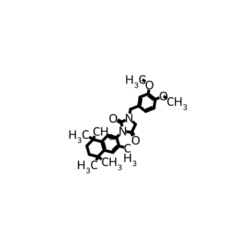 COc1ccc(CN2CC(=O)N(c3cc4c(cc3C)C(C)(C)CCC4(C)C)C2=O)cc1OC